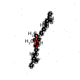 Cc1ccc(C2(c3ccc(C)cc3CN3CCN(c4ccc(C(=O)NS(=O)(=O)c5ccc(NCC6CCOCC6)c([N+](=O)[O-])c5)cc4)CC3)C3C=CC2(C(=O)Nc2ccccc2)CC3)c(CN2CCN(c3ccc(C(=O)NS(=O)(=O)c4ccc(NCC5CCOCC5)c([N+](=O)[O-])c4)cc3)CC2)c1